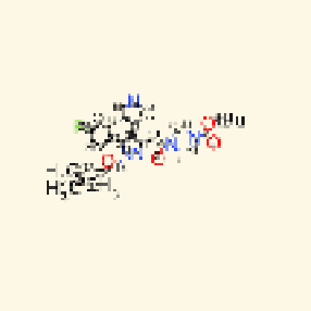 CC(C)(C)OC(=O)N1CCN(C(=O)Cc2nn(COCC[Si](C)(C)C)c(-c3ccc(F)cc3)c2-c2ccncc2)CC1